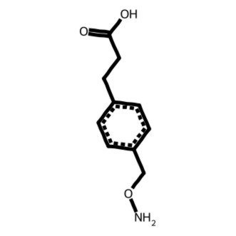 NOCc1ccc(CCC(=O)O)cc1